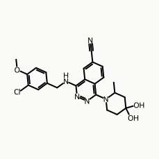 COc1ccc(CNc2nnc(N3CCC(O)(O)CC3C)c3ccc(C#N)cc23)cc1Cl